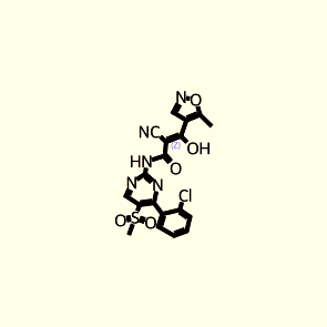 Cc1oncc1/C(O)=C(\C#N)C(=O)Nc1ncc(S(C)(=O)=O)c(-c2ccccc2Cl)n1